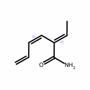 C=C/C=C\C(=C/C)C(N)=O